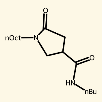 CCCCCCCCN1CC(C(=O)NCCCC)CC1=O